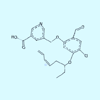 C=C/C=C\CC(CC)Oc1cc(OCc2cncc(C(=O)O)c2)c(C=O)cc1Cl